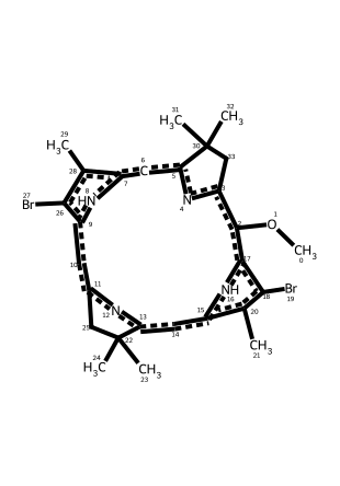 COc1c2nc(cc3[nH]c(cc4nc(cc5[nH]c1c(Br)c5C)C(C)(C)C4)c(Br)c3C)C(C)(C)C2